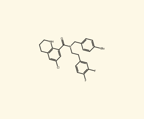 CC(C)(C)c1ccc(CN(CCc2ccc(F)c(F)c2)C(=O)c2cc(Cl)cc3c2NCCC3)cc1